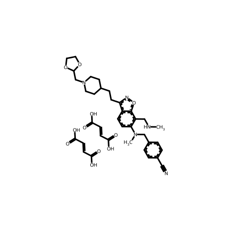 CNCc1c(N(C)Cc2ccc(C#N)cc2)ccc2c(CCC3CCN(CC4OCCO4)CC3)noc12.O=C(O)/C=C/C(=O)O.O=C(O)/C=C/C(=O)O